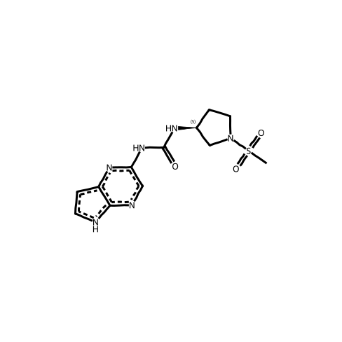 CS(=O)(=O)N1CC[C@H](NC(=O)Nc2cnc3[nH]ccc3n2)C1